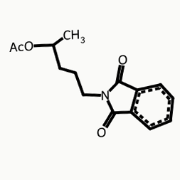 CC(=O)OC(C)CCCN1C(=O)c2ccccc2C1=O